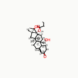 CCC(=O)O[C@@]1(C(C)=O)[C@H](C)C[C@H]2[C@@H]3CCC4=CC(=O)CC[C@]4(C)[C@H]3[C@@H](O)C[C@@]21C